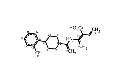 C=C/C(C(=O)O)=C(\C)NC(=C)N1CCC(c2ccccc2C(F)(F)F)CC1